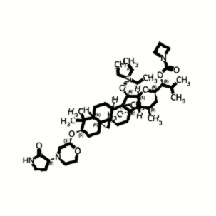 CC[Si](CC)(CC)O[C@H]1[C@H]2O[C@@H]([C@H](OC(=O)N3CCC3)C(C)C)C[C@@H](C)[C@@H]2[C@@]2(C)CC[C@@]34C[C@@]35CC[C@H](O[C@H]3CN([C@@H]6CCNC6=O)CCO3)C(C)(C)[C@@H]5CC[C@H]4[C@]12C